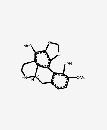 COc1ccc2c(c1OC)-c1c3c(c(OC)c4c1[C@H](C2)NCC4)OCO3